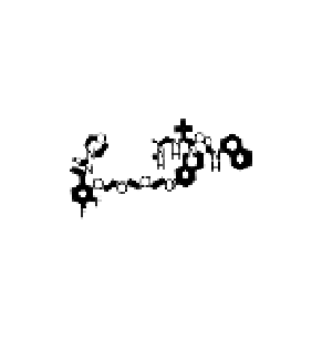 CN[C@@H](C)CN[C@H](C(=O)N1Cc2cc(OCCOCCOCCOc3c(-c4csc(N5CCOCC5)n4)ccc(F)c3F)ccc2C[C@H]1C(=O)N[C@@H]1CCCc2ccccc21)C(C)(C)C